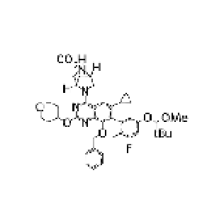 COC(Oc1cc(F)c(C)c(-c2c(C3CC3)cc3c(N4C[C@@H]5C[C@H]4CN5C(=O)O)nc(OC4CCOCC4)nc3c2OCc2ccccc2)c1)C(C)(C)C